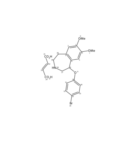 COc1cc2c(cc1OC)C(Oc1ccc(Br)cc1)CNCC2.O=C(O)C=CC(=O)O